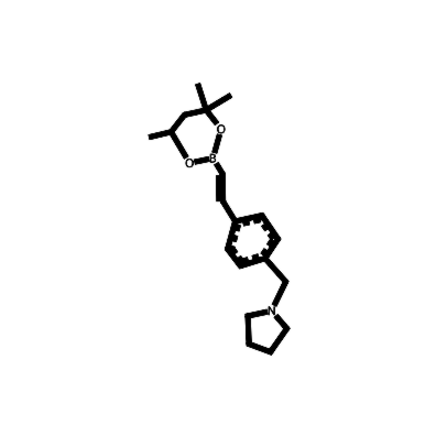 CC1CC(C)(C)OB(C=Cc2ccc(CN3CCCC3)cc2)O1